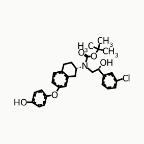 CC(C)(C)OC(=O)N(C[C@@H](O)c1cccc(Cl)c1)[C@H]1CCc2ccc(Oc3ccc(O)cc3)cc2C1